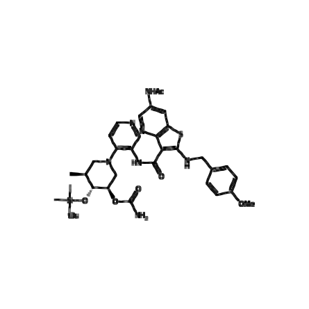 COc1ccc(CNc2sc3cc(NC(C)=O)cnc3c2C(=O)Nc2cnccc2N2C[C@H](C)[C@@H](O[Si](C)(C)C(C)(C)C)[C@H](OC(N)=O)C2)cc1